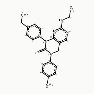 COCc1ccc(N2C(=O)N(c3ccc(OC)cc3)Cc3cnc(NCC(F)(F)F)nc32)cc1